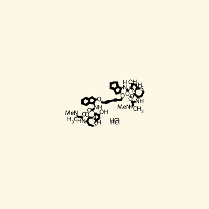 CN[C@@H](C)C(=O)N[C@H]1CCS[C@H]2C[C@H](O)[C@@H](C(=O)N[C@H]3c4ccccc4C[C@H]3OCC#CC#CCO[C@@H]3Cc4ccccc4[C@@H]3NC(=O)[C@@H]3[C@@H](O)C[C@@H]4SCC[C@H](NC(=O)[C@H](C)NC)C(=O)N43)N2C1=O.Cl.Cl